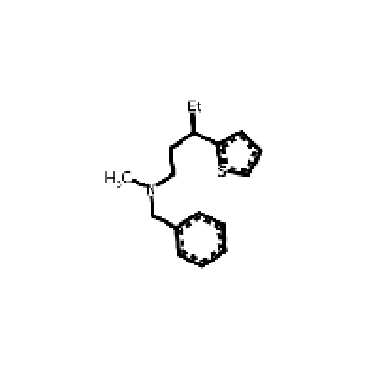 CCC(CCN(C)Cc1ccccc1)c1cccs1